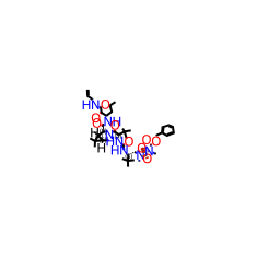 C=CCNC(=O)C(=O)C(CCC)NC(=O)[C@@H]1[C@@H]2[C@H](CN1C(=O)[C@@H](NC(=O)N[C@H](CN(C)S(=O)(=O)N(C)C(=O)OCc1ccccc1)C(C)(C)C)C(C)(C)C)C2(C)C